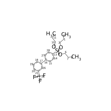 CCCO[Si](OCCC)(OCCC)c1ccc(-c2cccc(C(F)(F)F)c2)cc1